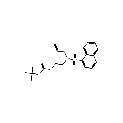 C=CCN(CCNC(=O)OC(C)(C)C)S(=O)(=O)c1cccc2ccccc12